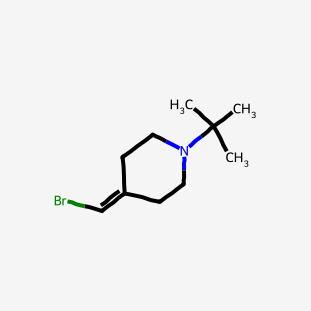 CC(C)(C)N1CCC(=CBr)CC1